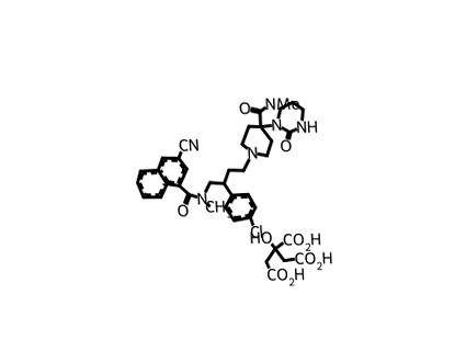 CNC(=O)C1(N2CCCNC2=O)CCN(CCC(CN(C)C(=O)c2cc(C#N)cc3ccccc23)c2ccc(Cl)cc2)CC1.O=C(O)CC(O)(CC(=O)O)C(=O)O